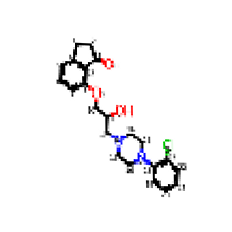 O=C1CCc2cccc(OCC(O)CN3CCN(c4ccccc4Cl)CC3)c21